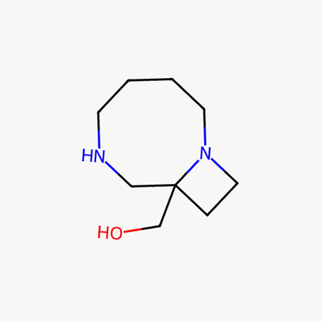 OCC12CCN1CCCCNC2